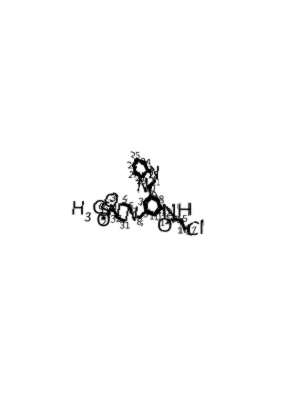 CS(=O)(=O)N1CCN(Cc2cc(NC(=O)CCCl)cc(-c3cnc4ccccc4n3)c2)CC1